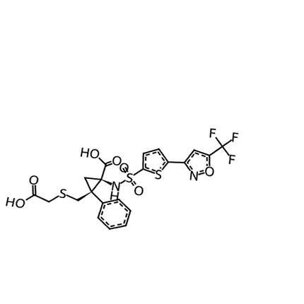 O=C(O)CSC[C@@]1(c2ccccc2)C[C@]1(NS(=O)(=O)c1ccc(-c2cc(C(F)(F)F)on2)s1)C(=O)O